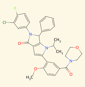 COc1ccc(C(=O)N2CCOCC2)cc1-c1cc2c(n1C(C)C)C(c1ccccc1)N(c1ccc(F)c(Cl)c1)C2=O